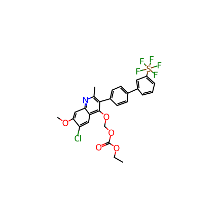 CCOC(=O)OCOc1c(-c2ccc(-c3cccc(S(F)(F)(F)(F)F)c3)cc2)c(C)nc2cc(OC)c(Cl)cc12